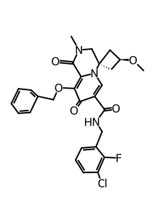 CO[C@H]1C[C@]2(CN(C)C(=O)c3c(OCc4ccccc4)c(=O)c(C(=O)NCc4cccc(Cl)c4F)cn32)C1